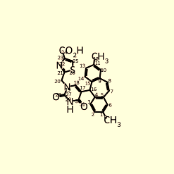 Cc1ccc2c(c1)C=Cc1cc(C)ccc1C2c1cn(Cc2nc(C(=O)O)cs2)c(=O)[nH]c1=O